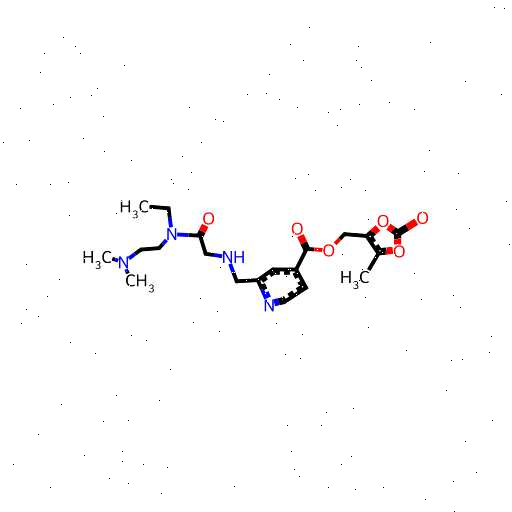 CCN(CCN(C)C)C(=O)CNCc1cc(C(=O)OCc2oc(=O)oc2C)ccn1